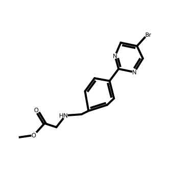 COC(=O)CNCc1ccc(-c2ncc(Br)cn2)cc1